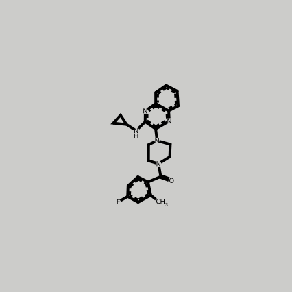 Cc1cc(F)ccc1C(=O)N1CCN(c2nc3ccccc3nc2NC2CC2)CC1